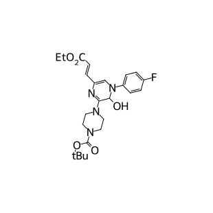 CCOC(=O)/C=C/C1=CN(c2ccc(F)cc2)C(O)C(N2CCN(C(=O)OC(C)(C)C)CC2)=N1